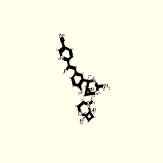 C[C@]1(c2cc(/C=C(\F)c3ccc(C#N)cn3)ccc2F)N=C(N)S[C@@]2(CN3CCO[C@@H]4CC[C@@H]43)C[C@H]21